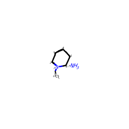 CCN1CCCCC1.N